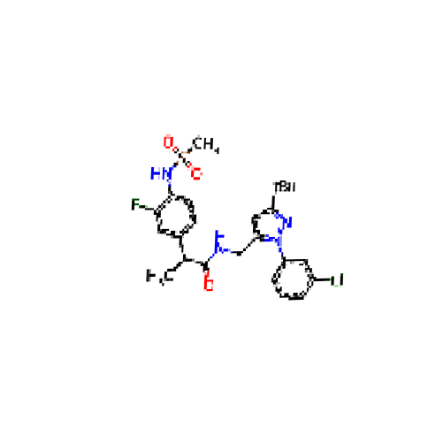 C[C@H](C(=O)NCc1cc(C(C)(C)C)nn1-c1cccc(Cl)c1)c1ccc(NS(C)(=O)=O)c(F)c1